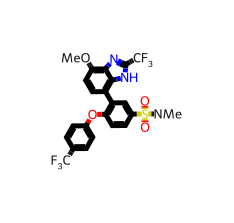 CNS(=O)(=O)c1ccc(Oc2ccc(C(F)(F)F)cc2)c(-c2ccc(OC)c3nc(C(F)(F)F)[nH]c23)c1